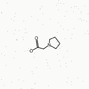 [O]C(=O)CN1CCCC1